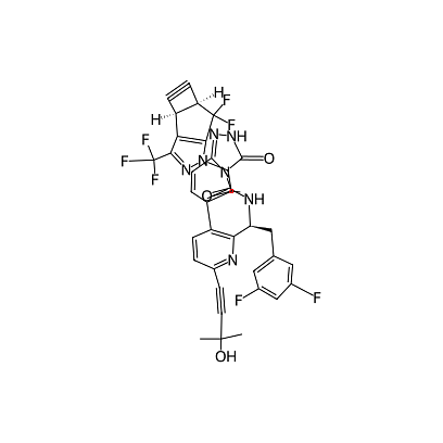 Cc1c(-c2ccc(C#CC(C)(C)O)nc2[C@H](Cc2cc(F)cc(F)c2)NC(=O)Cn2nc(C(F)(F)F)c3c2C(F)(F)[C@@H]2C#C[C@H]32)ccc2n[nH]c(=O)n12